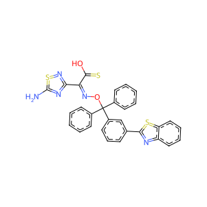 Nc1nc(C(=NOC(c2ccccc2)(c2ccccc2)c2cccc(-c3nc4ccccc4s3)c2)C(O)=S)ns1